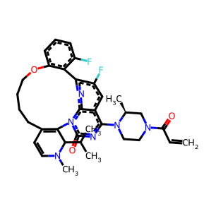 C=CC(=O)N1CCN(c2nc(=O)n3c4nc(c(F)cc24)-c2c(F)cccc2OCCCCC2=C3C(C(C)C)N(C)C=C2)[C@@H](C)C1